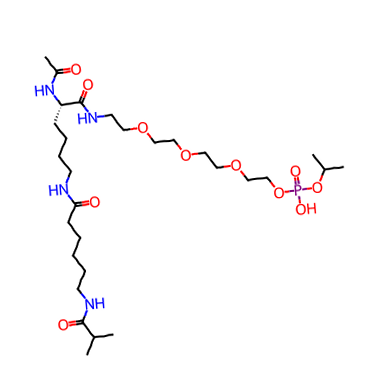 CC(=O)N[C@@H](CCCCNC(=O)CCCCCNC(=O)C(C)C)C(=O)NCCOCCOCCOCCOP(=O)(O)OC(C)C